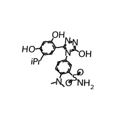 CC(C)c1cc(-c2nnc(O)n2-c2ccc(N(C)C)c(S(N)(=O)=O)c2)c(O)cc1O